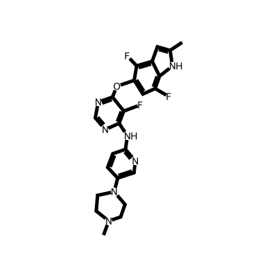 Cc1cc2c(F)c(Oc3ncnc(Nc4ccc(N5CCN(C)CC5)cn4)c3F)cc(F)c2[nH]1